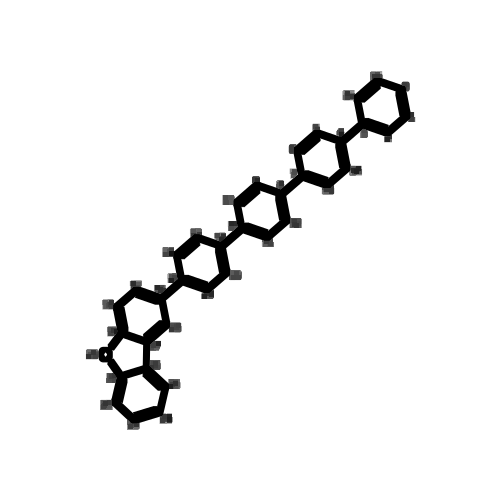 c1ccc(-c2ccc(-c3ccc(-c4ccc(-c5ccc6oc7ccccc7c6c5)cc4)cc3)cc2)cc1